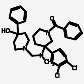 CN(CN1CCC(O)(c2ccccc2)CC1)C1(c2ccc(Cl)c(Cl)c2)CCCN(C(=O)c2ccccc2)C1